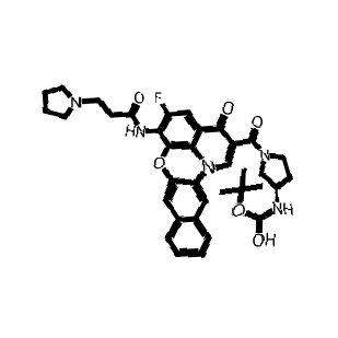 CC(C)(C)OC(O)N[C@@H]1CCN(C(=O)c2cn3c4c(c(NC(=O)CCN5CCCC5)c(F)cc4c2=O)Oc2cc4ccccc4cc2-3)C1